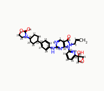 C=CCn1c(=O)c2cnc(Nc3ccc(C4CCC(N5CCOC5=O)CC4)cc3)nc2n1-c1cccc(C2(O)COC2)n1